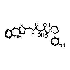 O=C(NCC1CC=C(Cc2ccccc2O)S1)[C@H](O)[C@@H](O)C(=O)N1CCC[C@@H]1c1cccc(Cl)c1